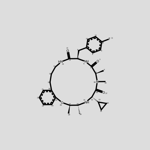 C[C@@H]1C(=O)N[C@H](Cc2ccc(F)cc2)C(=O)NCCCc2ccccc2O[C@H](C)[C@@H](C)N[C@@H](C2CC2)C(=O)N1C